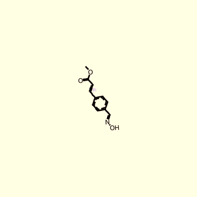 COC(=O)/C=C/c1ccc(C=NO)cc1